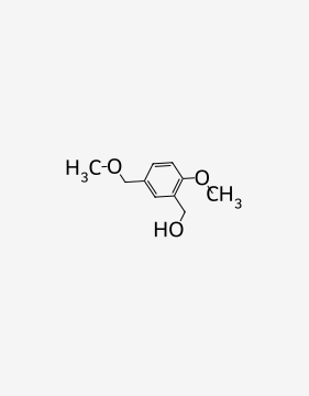 COCc1ccc(OC)c(CO)c1